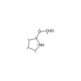 O=[C]OC1CCCN1